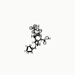 COC(=O)C1c2nn(Cc3ccccc3)cc2[C@H]2CN1C(=O)N2OS(=O)(=O)O